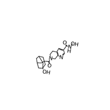 O=C(NO)c1cnc2c(c1)CCN(C(=O)C13CC4CC(CC(O)(C4)C1)C3)C2